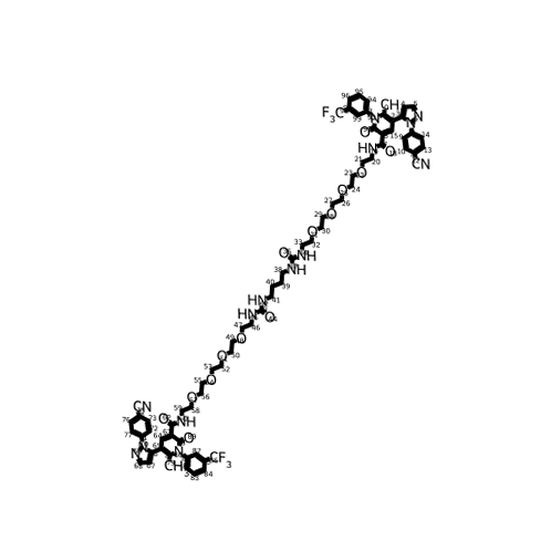 Cc1c(-c2ccnn2-c2ccc(C#N)cc2)cc(C(=O)NCCOCCOCCOCCOCCNC(=O)NCCCCNC(=O)NCCOCCOCCOCCOCCNC(=O)c2cc(-c3ccnn3-c3ccc(C#N)cc3)c(C)n(-c3cccc(C(F)(F)F)c3)c2=O)c(=O)n1-c1cccc(C(F)(F)F)c1